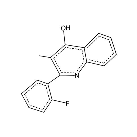 Cc1c(-c2ccccc2F)nc2ccccc2c1O